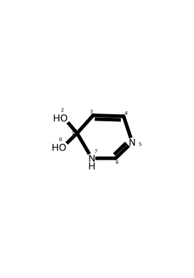 OC1(O)C=CN=CN1